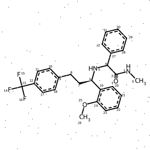 CNC(=O)C(N[C@H](CCc1ccc(C(F)(F)F)cc1)c1ccccc1OC)c1ccccc1